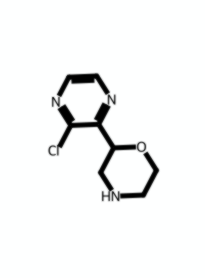 Clc1nccnc1C1CNCCO1